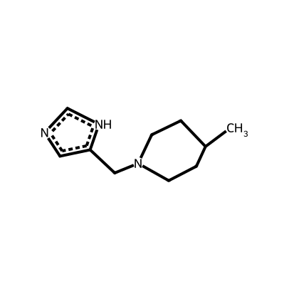 CC1CCN(Cc2cnc[nH]2)CC1